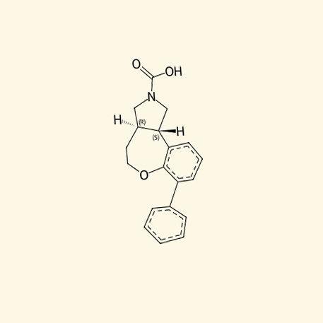 O=C(O)N1C[C@@H]2CCOc3c(-c4ccccc4)cccc3[C@H]2C1